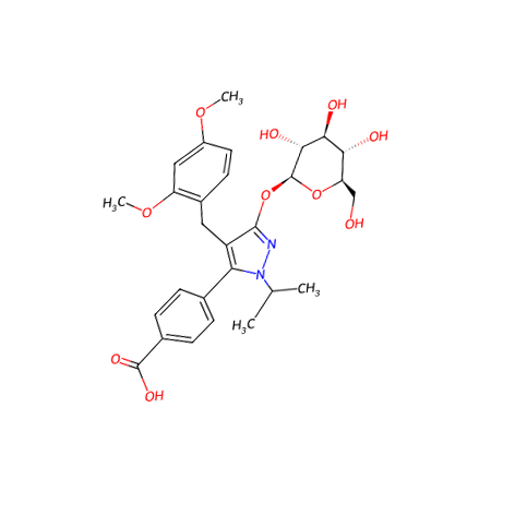 COc1ccc(Cc2c(O[C@@H]3O[C@H](CO)[C@@H](O)[C@H](O)[C@H]3O)nn(C(C)C)c2-c2ccc(C(=O)O)cc2)c(OC)c1